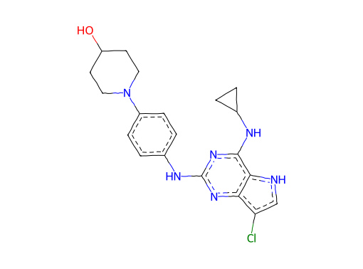 OC1CCN(c2ccc(Nc3nc(NC4CC4)c4[nH]cc(Cl)c4n3)cc2)CC1